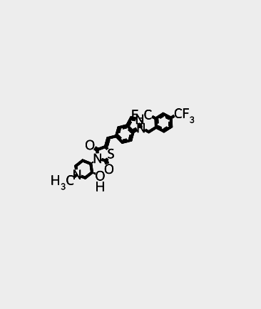 CN1CC[C@H](N2C(=O)S/C(=C\c3ccc4c(cnn4Cc4ccc(C(F)(F)F)cc4C(F)(F)F)c3)C2=O)[C@@H](O)C1